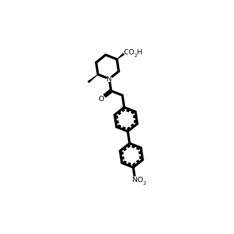 C[C@H]1CC[C@@H](C(=O)O)CN1C(=O)Cc1ccc(-c2ccc([N+](=O)[O-])cc2)cc1